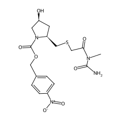 CN(C(N)=O)C(=O)CSC[C@@H]1C[C@H](O)CN1C(=O)OCc1ccc([N+](=O)[O-])cc1